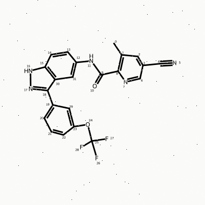 Cc1cc(C#N)cnc1C(=O)Nc1ccc2[nH]nc(-c3cccc(OC(F)(F)F)c3)c2c1